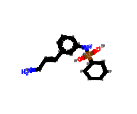 NCC=Cc1cccc(NS(=O)(=O)C2CCCCC2)c1